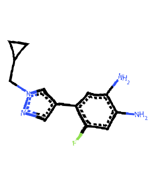 Nc1cc(F)c(-c2cnn(CC3CC3)c2)cc1N